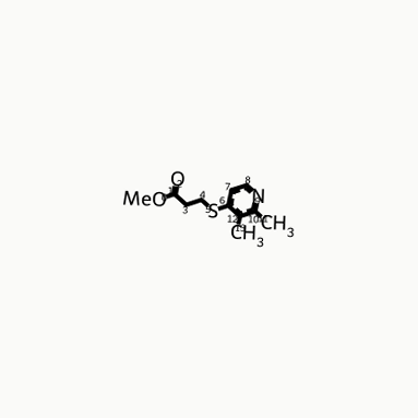 COC(=O)CCSc1ccnc(C)c1C